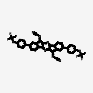 N#C/N=c1\c2cc(-c3ccc(OC(F)(F)F)cc3)ccc2c2nc3/c(=N/C#N)c4cc(-c5ccc(OC(F)(F)F)cc5)ccc4c3nc12